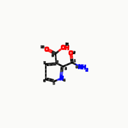 NC(=O)c1ncccc1C(=O)O